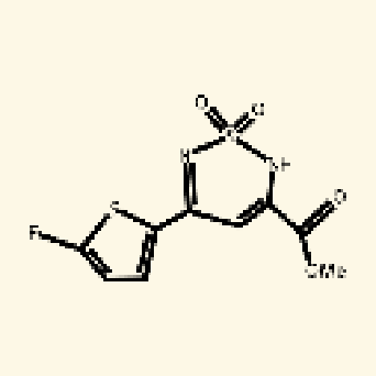 COC(=O)C1=CC(c2ccc(F)s2)=NS(=O)(=O)N1